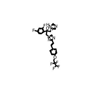 OC(Cn1cncn1)(Cn1cnc(C=Cc2ccc(OCC(F)(F)C(F)F)cc2)n1)c1ccc(F)cc1F